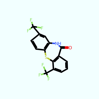 O=C1Nc2cc(C(F)(F)F)ccc2Sc2c1cccc2C(F)(F)F